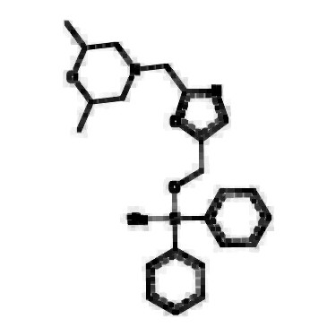 CC1CN(Cc2ncc(CO[Si](c3ccccc3)(c3ccccc3)C(C)(C)C)o2)CC(C)O1